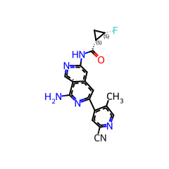 Cc1cnc(C#N)cc1-c1cc2cc(NC(=O)[C@@H]3C[C@@H]3F)ncc2c(N)n1